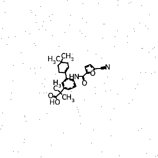 CC1(C)CC=C(c2cc(C(C)(C)C(=O)O)ccc2NC(=O)c2ccc(C#N)o2)CC1